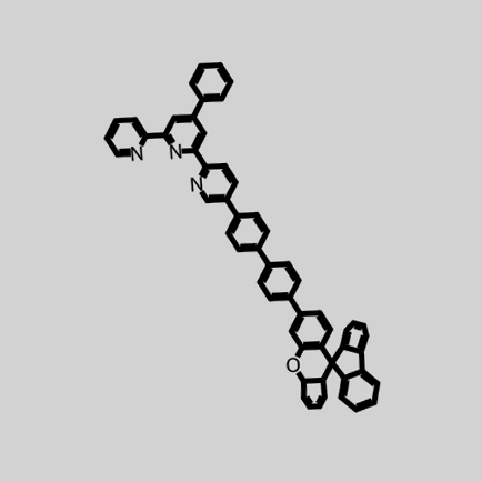 C1=CC2Oc3cc(-c4ccc(-c5ccc(-c6ccc(-c7cc(-c8ccccc8)cc(-c8ccccn8)n7)nc6)cc5)cc4)ccc3C3(c4ccccc4-c4ccccc43)C2C=C1